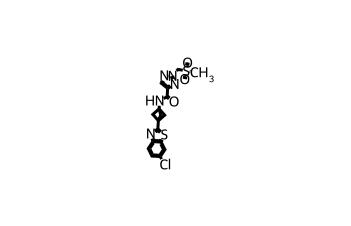 CS(=O)(=O)Cn1ncc(C(=O)NC23CC(c4nc5ccc(Cl)cc5s4)(C2)C3)n1